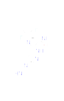 O=C1NCc2c(-c3c(F)cccc3F)ncc(Nc3ccc(N4CCNCC4)cn3)c21